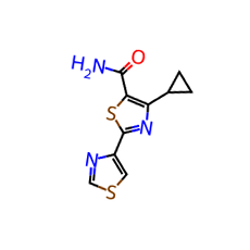 NC(=O)c1sc(-c2cscn2)nc1C1CC1